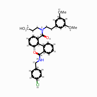 COc1cc(CCN(CCC(=O)O)C(=O)c2ccccc2-c2ccccc2C(=O)NCc2ccc(Cl)cc2)cc(OC)c1